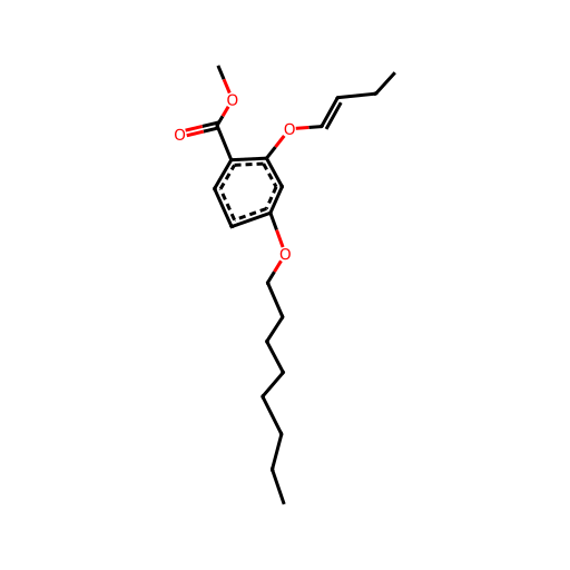 CCC=COc1cc(OCCCCCCCC)ccc1C(=O)OC